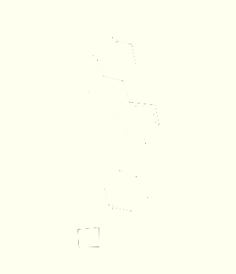 CC1=NNC(=O)CC1c1ccc(OC2CCN(C3CCC3)CC2)cc1